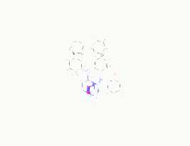 Cn1c2[n+](c3cncnc31)[N+]13c4c(cccc4-2)Oc2ccc4c(c21)-n1c2c(cccc2c2ccc[n+]3c21)C41c2ccccc2-c2ccccc21